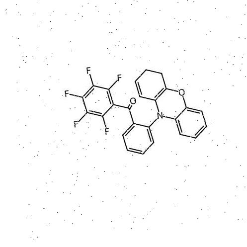 O=C(c1ccccc1N1C2=C(CCC=C2)Oc2ccccc21)c1c(F)c(F)c(F)c(F)c1F